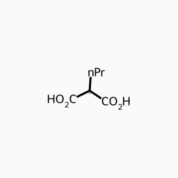 [CH2]CC[C](C(=O)O)C(=O)O